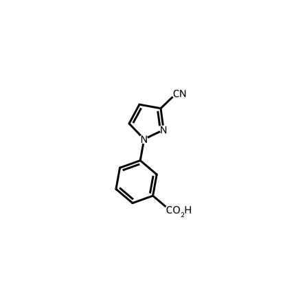 N#Cc1ccn(-c2cccc(C(=O)O)c2)n1